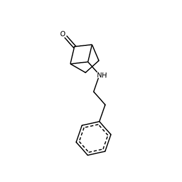 O=C1C2CCC1C2NCCc1ccccc1